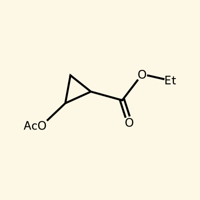 CCOC(=O)C1CC1OC(C)=O